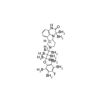 Bc1c(B)c(OC(B)(B)C(B)(B)C(B)(B)N2CCC3[C@@H](C2)c2cccc4c2N3C(B)(B)C(=O)N4)c(B)c(B)c1F